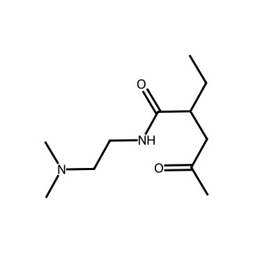 CCC(CC(C)=O)C(=O)NCCN(C)C